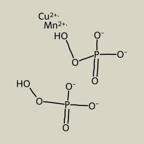 O=P([O-])([O-])OO.O=P([O-])([O-])OO.[Cu+2].[Mn+2]